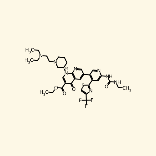 CCNC(=O)Nc1cc(-c2nc(C(F)(F)F)cs2)c(-c2cnc3c(c2)c(=O)c(C(=O)OCC)cn3[C@@H]2CCCN(CCN(CC)CC)C2)cn1